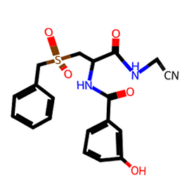 N#CCNC(=O)C(CS(=O)(=O)Cc1ccccc1)NC(=O)c1cccc(O)c1